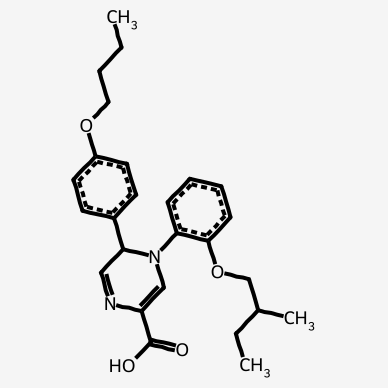 CCCCOc1ccc(C2C=NC(C(=O)O)=CN2c2ccccc2OCC(C)CC)cc1